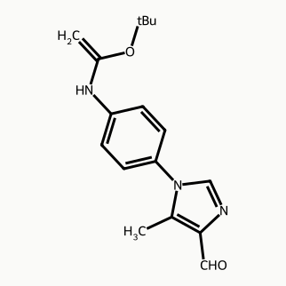 C=C(Nc1ccc(-n2cnc(C=O)c2C)cc1)OC(C)(C)C